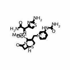 CON=C(C(N)=O)c1csc(N)n1.NC(=O)Nc1ccc[n+](CC2=C(C(=O)[O-])N3C(=O)C[C@@H]3SC2)c1